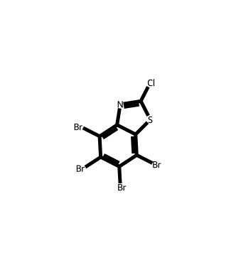 Clc1nc2c(Br)c(Br)c(Br)c(Br)c2s1